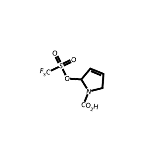 O=C(O)N1CC=CC1OS(=O)(=O)C(F)(F)F